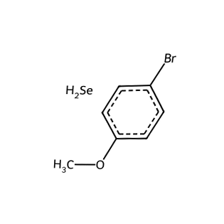 COc1ccc(Br)cc1.[SeH2]